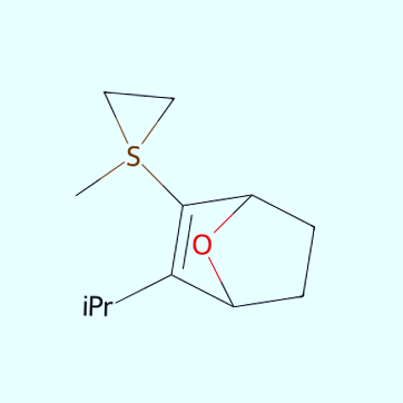 CC(C)C1=C(S2(C)CC2)C2CCC1O2